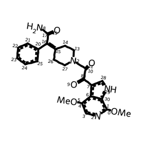 COc1ncc(OC)c2c(C(=O)C(=O)N3CCC(=C(C(N)=O)c4ccccc4)CC3)c[nH]c12